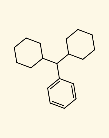 c1ccc(C(C2CCCCC2)C2CCCCC2)cc1